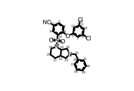 N#Cc1ccc(Oc2cc(Cl)cc(Cl)c2)c(S(=O)(=O)N2CCCC3CN(Cc4ccccc4)CC32)c1